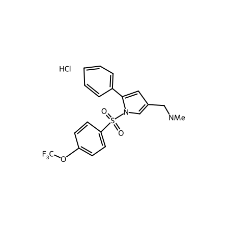 CNCc1cc(-c2ccccc2)n(S(=O)(=O)c2ccc(OC(F)(F)F)cc2)c1.Cl